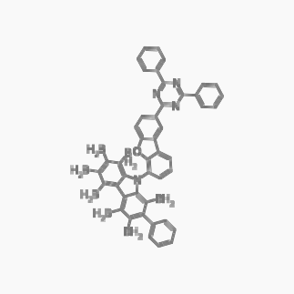 Bc1c(B)c(B)c2c(c1B)c1c(B)c(B)c(-c3ccccc3)c(B)c1n2-c1cccc2c1oc1ccc(-c3nc(-c4ccccc4)nc(-c4ccccc4)n3)cc12